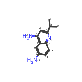 CC(C)c1cc(N)c2cc(N)ccc2n1